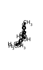 CCOc1ccc(-c2ccc(S(=O)(=O)N[C@@H](C(=O)O)C3CCN(C(=O)OC(C)(C)C)CC3)s2)cc1